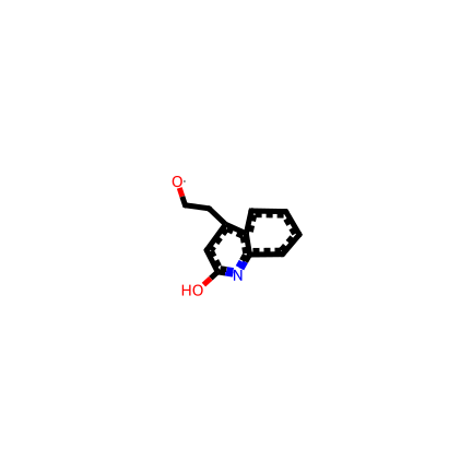 [O]CCc1cc(O)nc2ccccc12